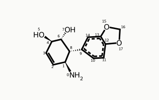 N[C@H]1C=C[C@@H](O)[C@H](O)[C@@H]1c1ccc2c(c1)OCO2